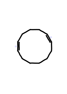 [CH]1C/C=C\CCC/C=C\CCC1